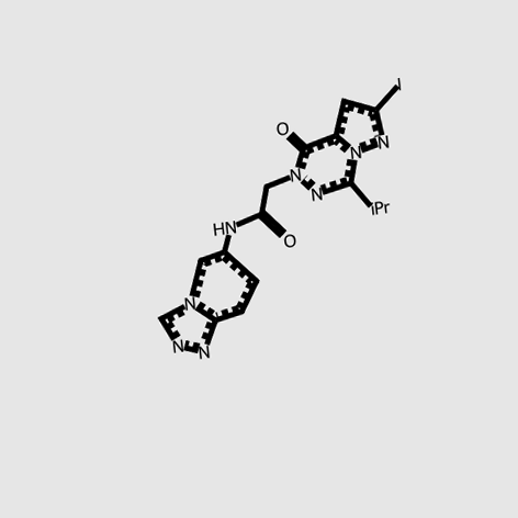 CC(C)c1nn(CC(=O)Nc2ccc3nncn3c2)c(=O)c2cc(I)nn12